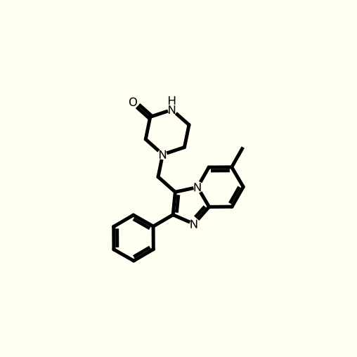 Cc1ccc2nc(-c3ccccc3)c(CN3CCNC(=O)C3)n2c1